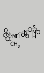 CCc1ccc2ccc(=O)n3c2c1[C@@H](NCCC[C@@H]1CN(c2ccc4c(c2)NC(=O)CS4)C(=O)O1)C3